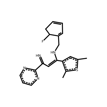 Cc1cc(/C(=C/C(=N)c2ncccn2)NCC2=CC=CCC2F)c(C)s1